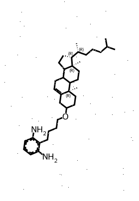 CC(C)CCC[C@@H](C)[C@H]1CCC2C3CC=C4CC(OCCCCc5c(N)cccc5N)CC[C@]4(C)C3CC[C@@]21C